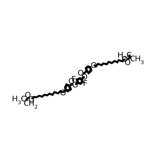 C=C(C)C(=O)OCCCCCCCCCCCOc1ccc(C(=O)Oc2cc(F)c(OC(=O)c3ccc(OCCCCCCCCCCCOC(=O)C(=C)C)cc3)cc2F)cc1